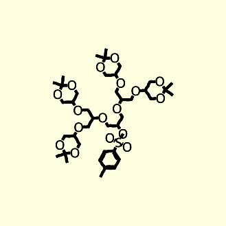 Cc1ccc(S(=O)(=O)OC(COC(COC2COC(C)(C)OC2)COC2COC(C)(C)OC2)COC(COC2COC(C)(C)OC2)COC2COC(C)(C)OC2)cc1